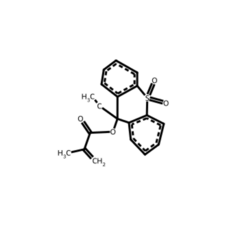 C=C(C)C(=O)OC1(CC)c2ccccc2S(=O)(=O)c2ccccc21